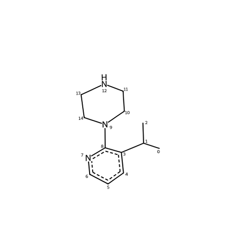 CC(C)c1cccnc1N1CCNCC1